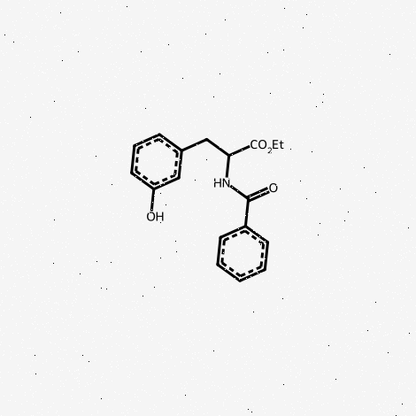 CCOC(=O)C(Cc1cccc(O)c1)NC(=O)c1ccccc1